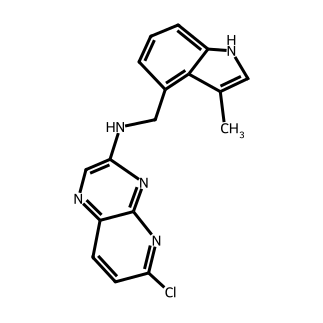 Cc1c[nH]c2cccc(CNc3cnc4ccc(Cl)nc4n3)c12